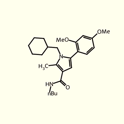 CCCCNC(=O)c1cc(-c2ccc(OC)cc2OC)n(CC2CCCCC2)c1C